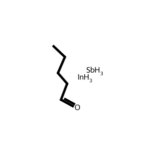 CCCCC=O.[InH3].[SbH3]